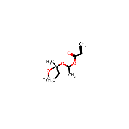 C=CC(=O)OC(C)O[Si](C)(CC)OC